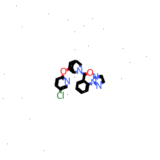 O=C(c1ccccc1-n1nccn1)N1CC2CCC1C(Oc1ccc(Cl)cn1)C2